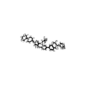 C[C@@H](Cn1cnnn1)Oc1cc(-c2cnc(Nc3cn(C4CCN(C5COCOC5)CC4)nc3OCC(F)(F)F)nc2)ccc1Cl